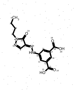 CCCCN1N=CC(=NNc2cc(C(=O)O)cc(C(=O)O)c2)C1=O